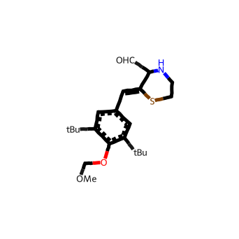 COCOc1c(C(C)(C)C)cc(C=C2SCCNC2C=O)cc1C(C)(C)C